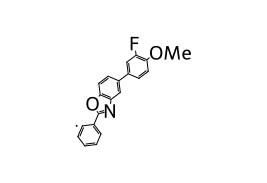 COc1ccc(-c2ccc3oc(-c4[c]cccc4)nc3c2)cc1F